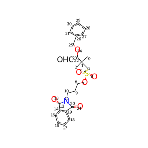 CC(C)(CS(=O)(=O)OCCCN1C(=O)c2ccccc2C1=O)[C@H](C=O)OCc1ccccc1